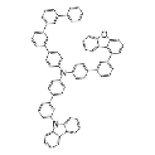 c1ccc(-c2cccc(-c3cccc(-c4ccc(N(c5ccc(-c6cccc(-c7cccc8oc9ccccc9c78)c6)cc5)c5ccc(-c6cccc(-n7c8ccccc8c8ccccc87)c6)cc5)cc4)c3)c2)cc1